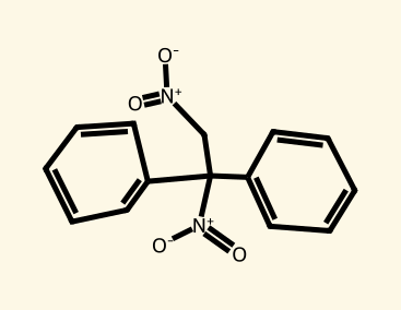 O=[N+]([O-])CC(c1ccccc1)(c1ccccc1)[N+](=O)[O-]